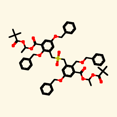 CC(OC(=O)c1cc(OCc2ccccc2)cc(CS(=O)(=O)Cc2cc(OCc3ccccc3)cc(C(=O)OC(C)OC(=O)C(C)(C)C)c2OCc2ccccc2)c1COCc1ccccc1)OC(=O)C(C)(C)C